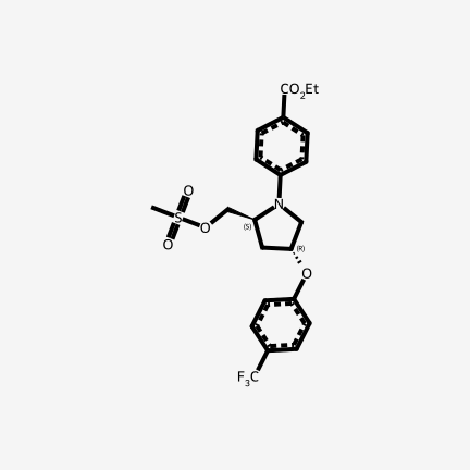 CCOC(=O)c1ccc(N2C[C@H](Oc3ccc(C(F)(F)F)cc3)C[C@H]2COS(C)(=O)=O)cc1